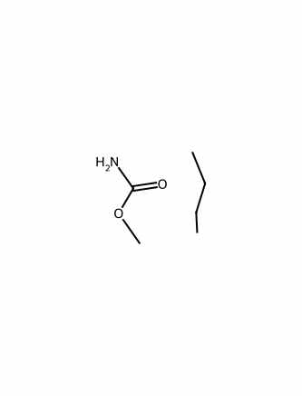 CCCC.COC(N)=O